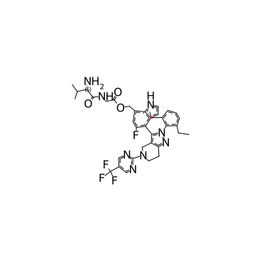 CCc1cccc(CC)c1-n1nc2c(c1-c1c(F)cc(COC(=O)CNC(=O)[C@@H](N)C(C)C)c3[nH]ccc13)CN(c1ncc(C(F)(F)F)cn1)CC2